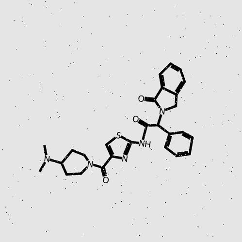 CN(C)C1CCN(C(=O)c2csc(NC(=O)C(c3ccccc3)N3Cc4ccccc4C3=O)n2)CC1